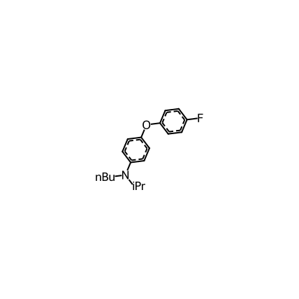 CCCCN(c1ccc(Oc2ccc(F)cc2)cc1)C(C)C